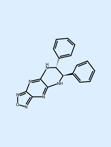 c1ccc([C@H]2Nc3nc4nonc4nc3N[C@@H]2c2ccccc2)cc1